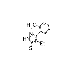 CCn1c(-c2ccccc2C)n[nH]c1=S